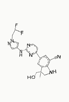 CC1(CO)CNc2c(C#N)cc(-c3ccnc(Nc4cnn(CC(F)F)c4)n3)cc21